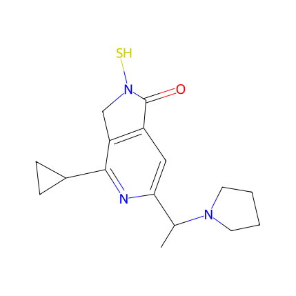 CC(c1cc2c(c(C3CC3)n1)CN(S)C2=O)N1CCCC1